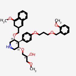 COC[C@@H](O)CO[C@@H]1CNC[C@H](OCC2C=c3ccccc3=C(OC)C2)[C@H]1c1ccc(OCCCOCc2ccccc2OC)cc1